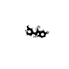 Cc1cc(-c2[nH]c3ccc(Br)cc3c2C(C)C)ccn1